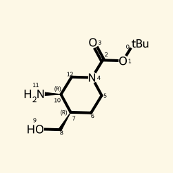 CC(C)(C)OC(=O)N1CC[C@@H](CO)[C@@H](N)C1